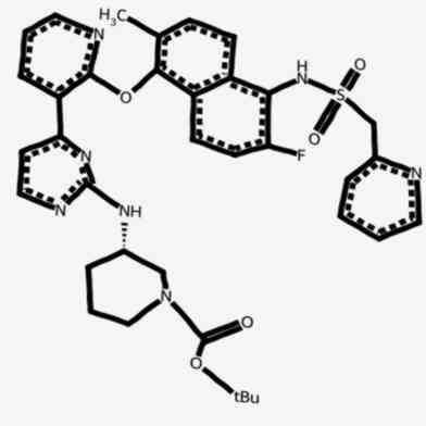 Cc1ccc2c(NS(=O)(=O)Cc3ccccn3)c(F)ccc2c1Oc1ncccc1-c1ccnc(N[C@H]2CCCN(C(=O)OC(C)(C)C)C2)n1